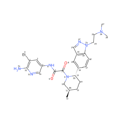 CCc1cc(NC(=O)C(=O)N2C[C@H](C)CC[C@H]2c2ccc3c(cnn3CCN(C)C)c2)cnc1N